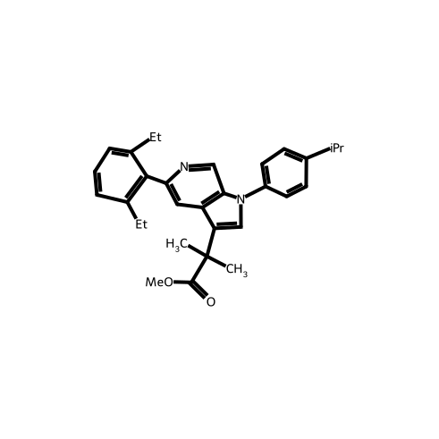 CCc1cccc(CC)c1-c1cc2c(C(C)(C)C(=O)OC)cn(-c3ccc(C(C)C)cc3)c2cn1